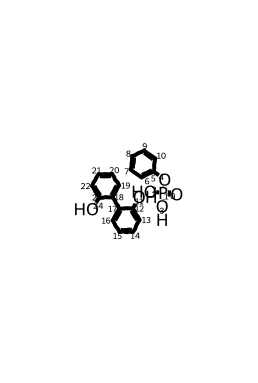 O=P(O)(O)Oc1ccccc1.Oc1ccccc1-c1ccccc1O